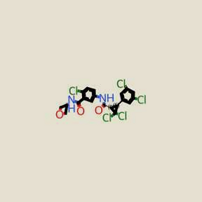 O=C(NC1COC1)c1cc(NC(=O)[C@@H]2[C@@H](c3cc(Cl)cc(Cl)c3)C2(Cl)Cl)ccc1Cl